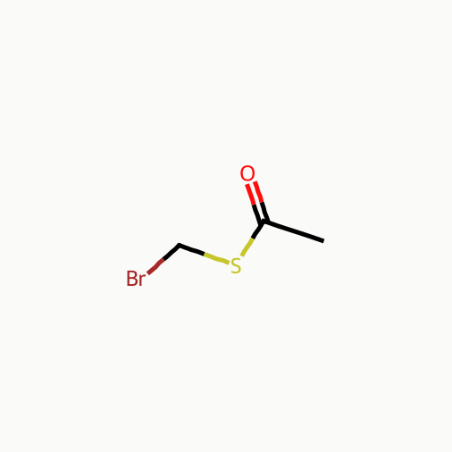 CC(=O)SCBr